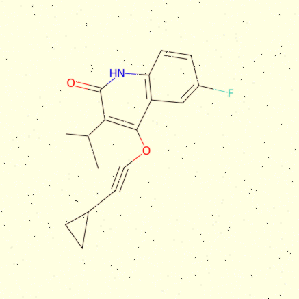 CC(C)c1c(OC#CC2CC2)c2cc(F)ccc2[nH]c1=O